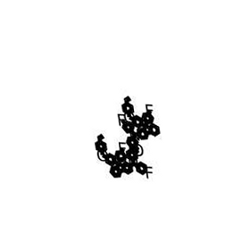 C=Cc1ccc(OC2C=CC(C3(C4=CCC(F)C=C4)c4ccccc4-c4ccc(N(C5=CCC(F)C=C5)c5ccc6c(c5)oc5cc(N(C7=CC8=C(CC7)C7=C(CCCC7)C8(c7ccc(F)cc7)C7C=CC(OC8=CCC(C=C)C=C8)=CC7)c7ccc(F)cc7)ccc56)cc43)=CC2)cc1